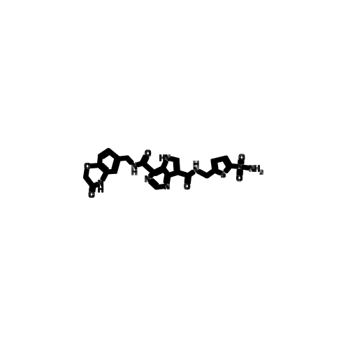 NS(=O)(=O)c1ccc(CNC(=O)c2c[nH]c3c(C(=O)NCc4ccc5c(c4)NC(=O)CO5)ncnc23)s1